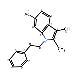 CC(=O)c1ccc2c(C)c(C)n(CCc3ccccc3)c2c1